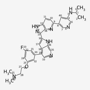 CC(C)Nc1cncc(-c2ccc3[nH]nc(-c4cc5c(-c6cc(F)cc(OCCN(C)C)c6)cncc5[nH]4)c3n2)c1